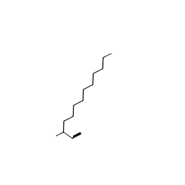 C=CC(CC)CCCCCCCCCCCCCCCCC